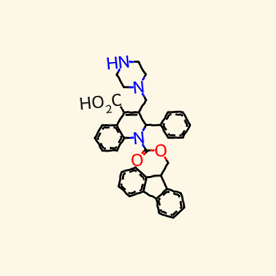 O=C(O)C1=C(CN2CCNCC2)C(c2ccccc2)N(C(=O)OCC2c3ccccc3-c3ccccc32)c2ccccc21